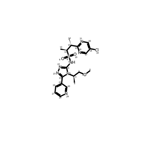 COC[C@@H](C)n1c(NS(=O)(=O)[C@@H](C)[C@H](C)c2ncc(Cl)cn2)nnc1-c1cccnc1